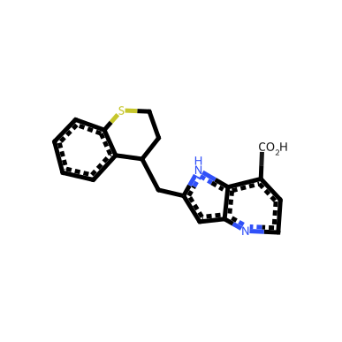 O=C(O)c1ccnc2cc(CC3CCSc4ccccc43)[nH]c12